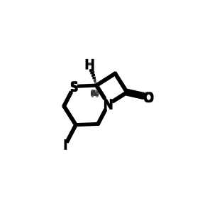 O=C1C[C@@H]2SCC(I)CN12